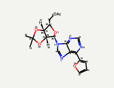 CC(=O)OC[C@H]1O[C@@H](n2cnc3c(-c4ccco4)ncnc32)[C@@H]2OC(C)(C)O[C@@H]21